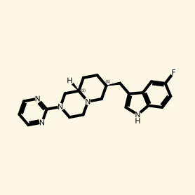 Fc1ccc2[nH]cc(C[C@@H]3CC[C@H]4CN(c5ncccn5)CCN4C3)c2c1